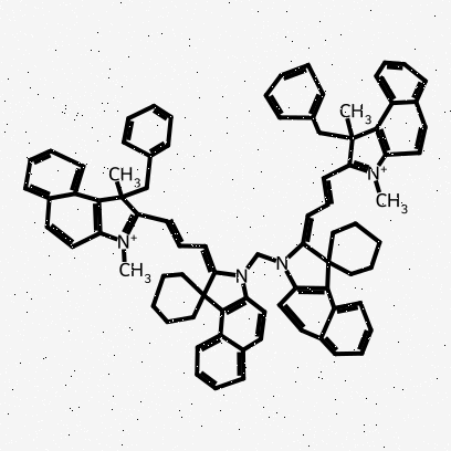 C[N+]1=C(/C=C/C=C2/N(CN3/C(=C/C=C/C4=[N+](C)c5ccc6ccccc6c5C4(C)Cc4ccccc4)C4(CCCCC4)c4c3ccc3ccccc43)c3ccc4ccccc4c3C23CCCCC3)C(C)(Cc2ccccc2)c2c1ccc1ccccc21